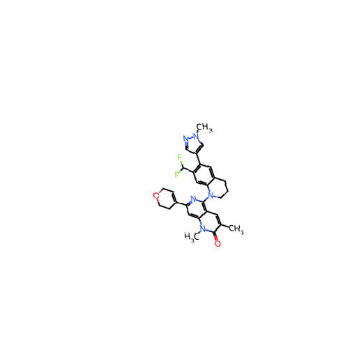 Cc1cc2c(N3CCCc4cc(-c5cnn(C)c5)c(C(F)F)cc43)nc(C3=CCOCC3)cc2n(C)c1=O